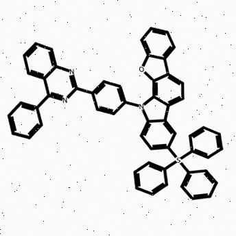 c1ccc(-c2nc(-c3ccc(-n4c5ccc(S(c6ccccc6)(c6ccccc6)c6ccccc6)cc5c5ccc6c7ccccc7oc6c54)cc3)nc3ccccc23)cc1